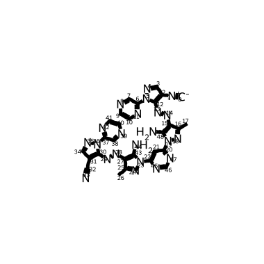 [C-]#[N+]c1cnn(-c2cnccn2)c1N=Nc1c(C)nn(-c2cc(-n3nc(C)c(N=Nc4c(C#N)cnn4-c4cnccn4)c3N)ncn2)c1N